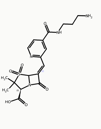 CC1(C)[C@H](C(=O)O)N2C(=O)/C(=C/c3cc(C(=O)NCCCN)ccn3)C2S1(=O)=O